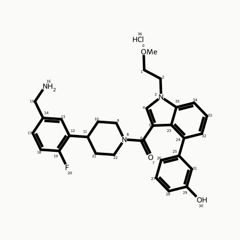 COCCn1cc(C(=O)N2CCC(c3cc(CN)ccc3F)CC2)c2c(-c3cccc(O)c3)cccc21.Cl